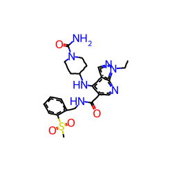 CCn1ncc2c(NC3CCN(C(N)=O)CC3)c(C(=O)NCc3ccccc3S(C)(=O)=O)cnc21